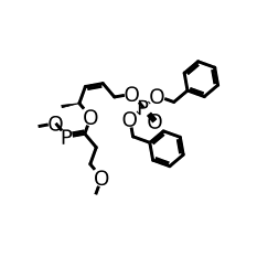 COCCC(O[C@@H](C)/C=C\COP(=O)(OCc1ccccc1)OCc1ccccc1)=POC